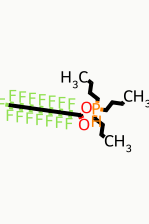 CCCC[PH](CCCC)(CCCC)OC(=O)C(F)(F)C(F)(F)C(F)(F)C(F)(F)C(F)(F)C(F)(F)C(F)(F)F